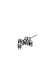 CCCCCCCCOc1cc2c(cc1OC)C(N(Cc1cc(C(F)(F)F)cc(C(F)(F)F)c1)C(=O)OC)CC(C)N2C(=O)OCC